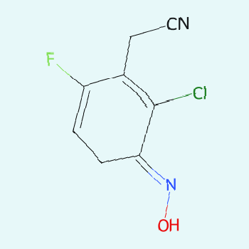 N#CCC1=C(Cl)C(=NO)CC=C1F